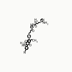 CCc1cc2c(cc1N1CCN(CCCC(=O)N3CC[C@@H](NC(=O)[C@@H](N)CCCn4ccnc4N)C3)CC1)C(C)(C)c1[nH]c3cc(C#N)ccc3c1C2=O